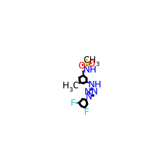 Cc1cc(CNS(C)(=O)=O)cc(Nc2ncn(-c3cc(F)cc(F)c3)n2)c1